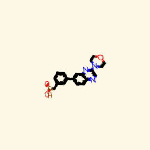 O=[SH](=O)Cc1cccc(-c2ccc3ncc(N4CCOCC4)nc3c2)c1